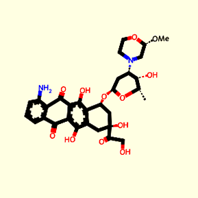 CO[C@@H]1CN([C@H]2C[C@H](O[C@H]3C[C@](O)(C(=O)CO)Cc4c(O)c5c(c(O)c43)C(=O)c3c(N)cccc3C5=O)O[C@@H](C)[C@H]2O)CCO1